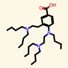 CCCCN(CCCC)CCc1cc(C(=O)O)ccc1N(CCCC)CCN(CCCC)CCCC